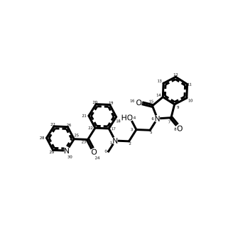 CN(CC(O)CN1C(=O)c2ccccc2C1=O)c1ccccc1C(=O)c1ccccn1